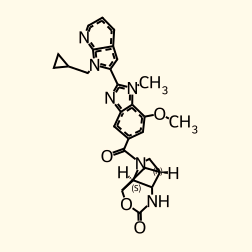 COc1cc(C(=O)N2C[C@H]3CC4OC(=O)NC3[C@@H]42)cc2nc(-c3cc4cccnc4n3CC3CC3)n(C)c12